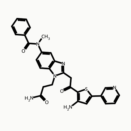 CN(C(=O)c1ccccc1)c1ccc2c(c1)nc(CC(=O)c1sc(-c3cccnc3)cc1N)n2CCC(N)=O